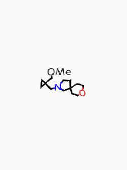 COCC1(CN2CCC3(CCOCC3)C2)CC1